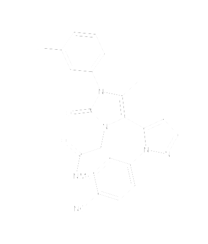 CNC(=O)Cn1c(-c2ccnn2-c2ccc(C#N)cc2)c(C)n(-c2cccc(C(F)(F)F)c2)c1=O